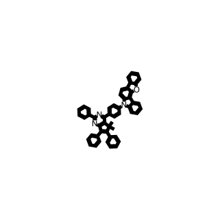 CC1(C)C(c2ccccc2)=C(c2ccccc2)c2nc(-c3ccccc3)nc(-c3ccc(-n4c5ccccc5c5c6oc7ccccc7c6ccc54)cc3)c21